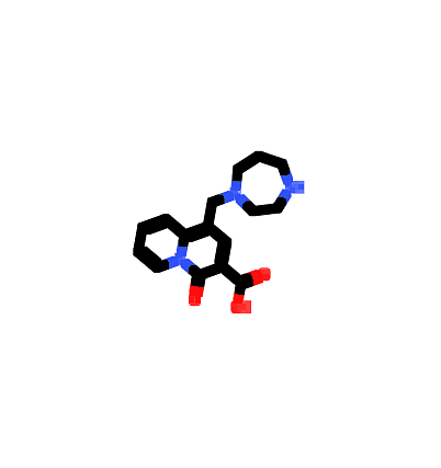 O=C(O)c1cc(CN2CCCNCC2)c2ccccn2c1=O